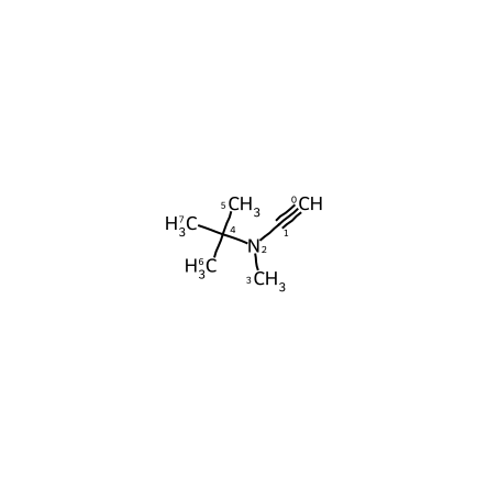 C#CN(C)C(C)(C)C